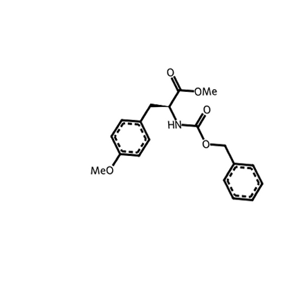 COC(=O)[C@H](Cc1ccc(OC)cc1)NC(=O)OCc1ccccc1